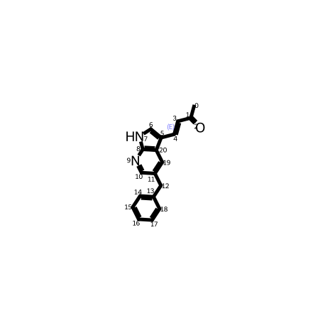 CC(=O)/C=C/c1c[nH]c2ncc(Cc3ccccc3)cc12